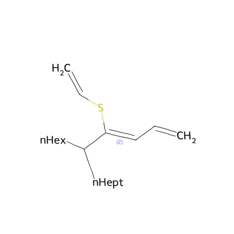 C=C/C=C(\SC=C)C(CCCCCC)CCCCCCC